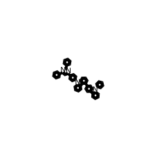 c1ccc(-c2cc(-c3ccc(-n4c5ccccc5c5c(-c6ccc7c8ccccc8n(-c8ccccc8)c7c6)cccc54)cc3)nc(-c3ccccc3)n2)cc1